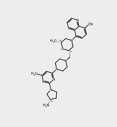 Cc1cc(N2CCN(C[C@H]3CN(c4ccc(C#N)c5ncccc45)C[C@@H](C)O3)CC2)nc(N2CC[C@H](N)C2)n1